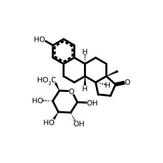 C[C@]12CC[C@@H]3c4ccc(O)cc4CC[C@H]3[C@@H]1CCC2=O.O=C(O)[C@H]1OC(O)[C@H](O)[C@@H](O)[C@@H]1O